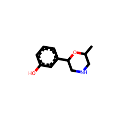 CC1CNCC(c2cccc(O)c2)O1